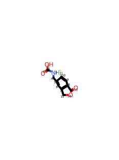 O=C(O)NCc1cc2c(cc1F)C(=O)OC2